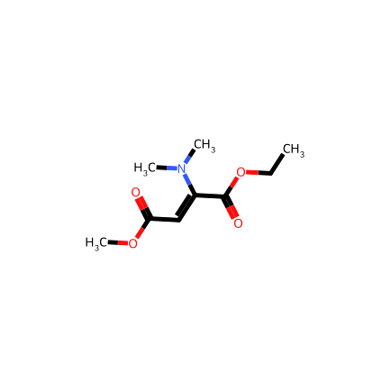 CCOC(=O)/C(=C/C(=O)OC)N(C)C